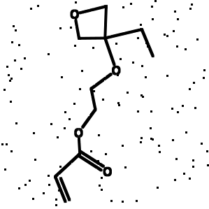 C=CC(=O)OCCOC1(CC)COC1